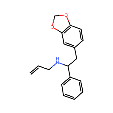 C=CCNC(Cc1ccc2c(c1)OCO2)c1ccccc1